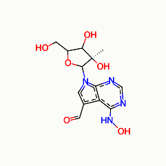 C[C@@]1(O)C(O)C(CO)OC1n1cc(C=O)c2c(NO)ncnc21